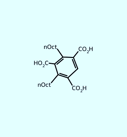 CCCCCCCCc1c(C(=O)O)cc(C(=O)O)c(CCCCCCCC)c1C(=O)O